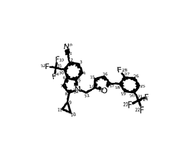 N#Cc1ccc2c(cc(C3CC3)n2Cc2ccc(-c3cc(C(F)(F)F)ccc3F)o2)c1C(F)(F)F